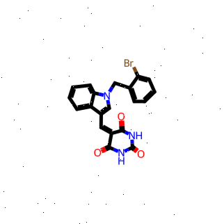 O=C1NC(=O)C(=Cc2cn(Cc3ccccc3Br)c3ccccc23)C(=O)N1